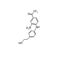 O=C(c1ccc(Nc2ccc(CCO)cc2)c([N+](=O)[O-])c1)C(F)(F)F